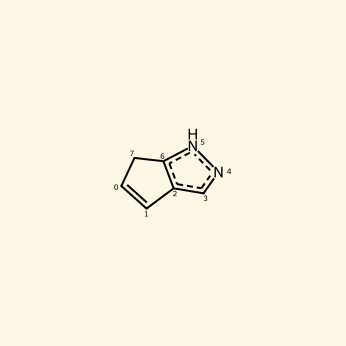 C1=Cc2cn[nH]c2C1